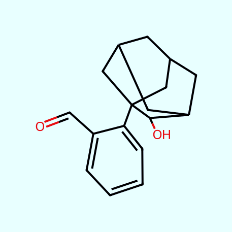 O=Cc1ccccc1C12CC3CC(CC(C3)C1O)C2